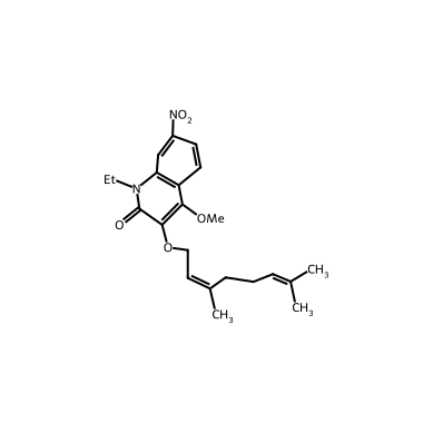 CCn1c(=O)c(OCC=C(C)CCC=C(C)C)c(OC)c2ccc([N+](=O)[O-])cc21